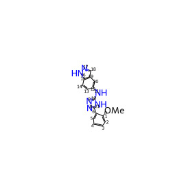 COc1ccccc1-c1nnc(Nc2ccc3[nH]ncc3c2)[nH]1